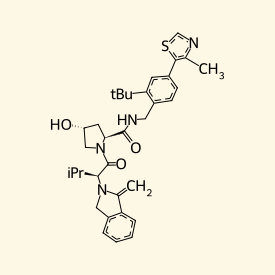 C=C1c2ccccc2CN1[C@H](C(=O)N1C[C@H](O)C[C@H]1C(=O)NCc1ccc(-c2scnc2C)cc1C(C)(C)C)C(C)C